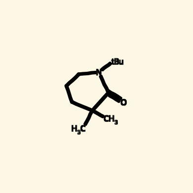 CC1(C)CCCN(C(C)(C)C)C1=O